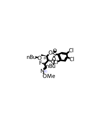 CCCCOC[C@@H](OS(=O)(=O)c1cc(Cl)c(Cl)cc1Cl)[C@@H](OCCCC)[C@H](F)/C=N/OC